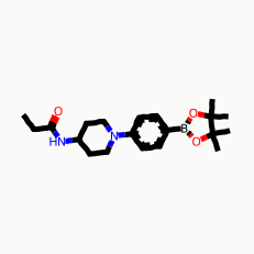 CCC(=O)NC1CCN(c2ccc(B3OC(C)(C)C(C)(C)O3)cc2)CC1